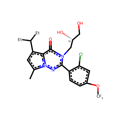 CCC(CC)c1cc(C)n2nc(-c3ccc(OC(F)(F)F)cc3Cl)n(C[C@H](O)CO)c(=O)c12